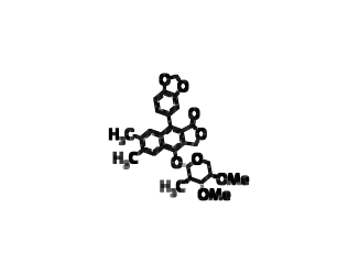 CO[C@@H]1[C@@H](C)[C@H](Oc2c3c(c(-c4ccc5c(c4)OCO5)c4cc(C)c(C)cc24)C(=O)OC3)OC[C@H]1OC